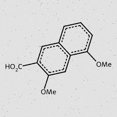 COc1cc2c(OC)cccc2[c]c1C(=O)O